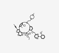 CC#Cc1sc2ncnc3c2c1-c1ccc(c(Cl)c1C)CN(CCN1CCN(C)CC1)Cc1ccc(OCc2ccnc(-c4ccccc4OC)n2)c(c1)C[C@H](C(=O)OCC)O3